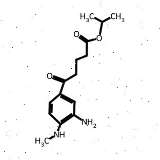 CNc1ccc(C(=O)CCCC(=O)OC(C)C)cc1N